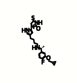 C[C@@H](NCCCCc1c[nH]c(N2CC(=S)NC2=O)c1)c1ccc(F)c(OCC2CC2)c1